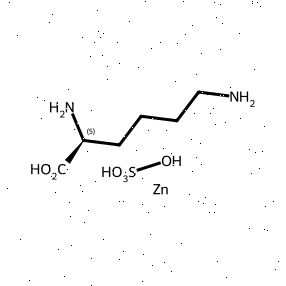 NCCCC[C@H](N)C(=O)O.O=S(=O)(O)O.[Zn]